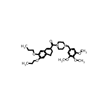 CCCOc1cc2c(cc1OCCC)CCC(C(=O)N1CCN(Cc3cc(OC)c(OC)c(OC)c3)CC1)=C2